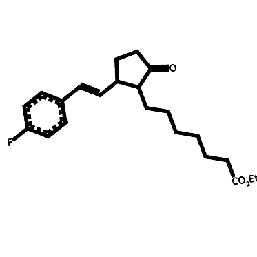 CCOC(=O)CCCCCCC1C(=O)CCC1/C=C/c1ccc(F)cc1